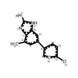 CCCc1nc2c(C)cc(-c3ccc(Cl)cc3)cc2[nH]1